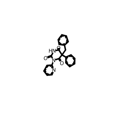 O=C1NC(=O)C(Cc2ccccc2)(c2ccccc2)C(=O)N1c1ccccn1